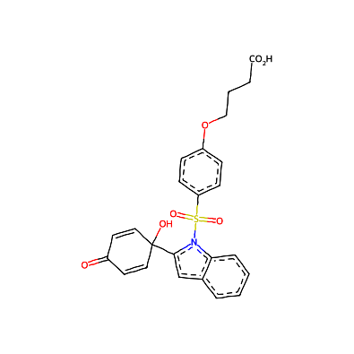 O=C1C=CC(O)(c2cc3ccccc3n2S(=O)(=O)c2ccc(OCCCC(=O)O)cc2)C=C1